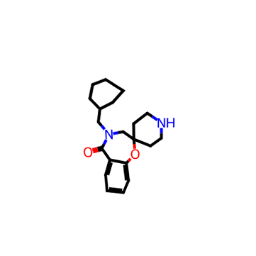 O=C1c2ccccc2OC2(CCNCC2)CN1CC1CCCCC1